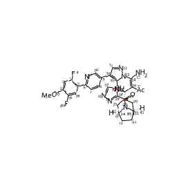 COc1cc(F)c(-c2ccc(-c3cnn4c(N)c(C(C)=O)c([C@@H]5C[C@H]6CC[C@@H](C5)N6C(=O)c5nnc[nH]5)nc34)cn2)cc1F